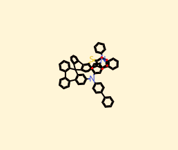 c1ccc(-c2ccc(N(c3ccc4c(c3)C3(c5ccccc5-c5ccccc5-4)c4ccccc4-c4c3ccc3c4sc4ccccc43)c3ccc4c(c3)c3ccccc3n4-c3ccccc3)cc2)cc1